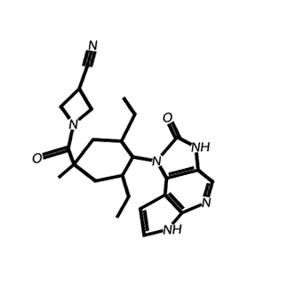 CCC1CC(C)(C(=O)N2CC(C#N)C2)CC(CC)C1n1c(=O)[nH]c2cnc3[nH]ccc3c21